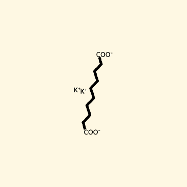 O=C([O-])CCCCCCCCC(=O)[O-].[K+].[K+]